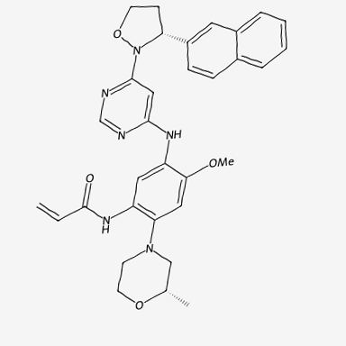 C=CC(=O)Nc1cc(Nc2cc(N3OCC[C@@H]3c3ccc4ccccc4c3)ncn2)c(OC)cc1N1CCO[C@@H](C)C1